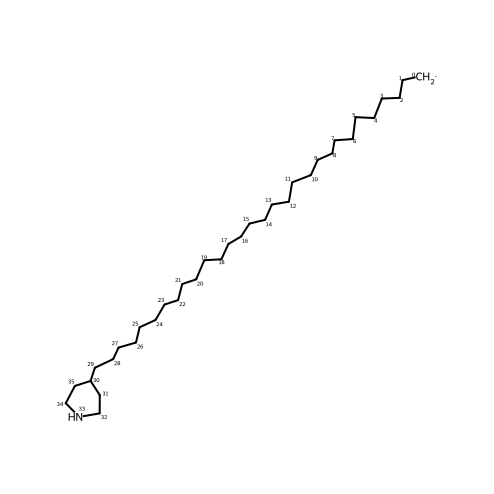 [CH2]CCCCCCCCCCCCCCCCCCCCCCCCCCCCCC1CCNCC1